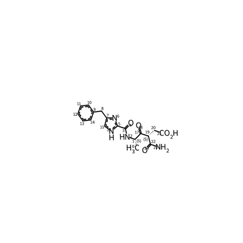 C[C@H](NC(=O)c1nc(Cc2ccccc2)c[nH]1)C(=O)[C@H](CC(=O)O)C(N)=O